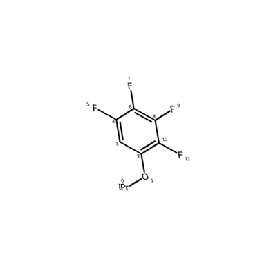 CC(C)Oc1cc(F)c(F)c(F)c1F